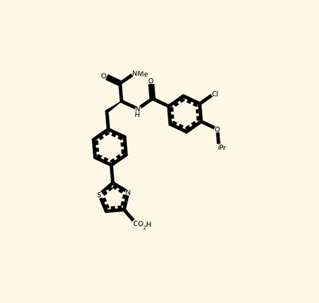 CNC(=O)[C@H](Cc1ccc(-c2nc(C(=O)O)cs2)cc1)NC(=O)c1ccc(OC(C)C)c(Cl)c1